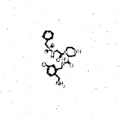 NCc1ccc(Cl)cc1CNC(=O)[C@@H]1CNCCN1C(=O)CNS(=O)(=O)Cc1ccccc1